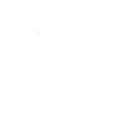 COc1ccc(C2CCN(C)CC2)cc1I